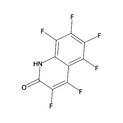 O=c1[nH]c2c(F)c(F)c(F)c(F)c2c(F)c1F